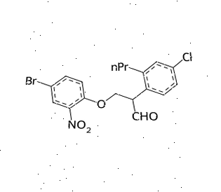 CCCc1cc(Cl)ccc1C(C=O)COc1ccc(Br)cc1[N+](=O)[O-]